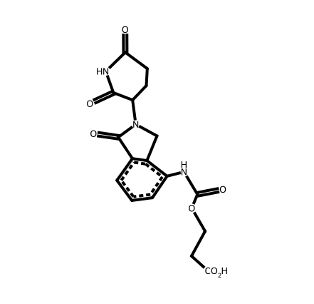 O=C(O)CCOC(=O)Nc1cccc2c1CN(C1CCC(=O)NC1=O)C2=O